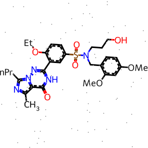 CCCc1nc(C)c2c(=O)[nH]c(-c3cc(S(=O)(=O)N(CCCO)Cc4ccc(OC)cc4OC)ccc3OCC)nn12